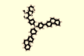 C=Nc1c(/C(=N\C)c2ccc(N(c3ccc(-c4ccc5c(ccc6ccccc65)c4)cc3)c3ccc(-c4ccc5c(ccc6ccccc65)c4)cc3)cc2)sc2ncccc12